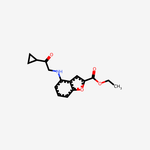 CCOC(=O)c1cc2c(NCC(=O)C3CC3)cccc2o1